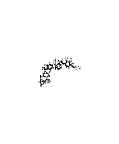 Cc1cc(Nc2nccn3c(-c4ccc(OCC#N)c(F)c4Cl)cnc23)ccc1C(=O)N1CCN(C(=O)[C@@H]2CCCN2)CC1